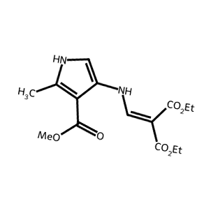 CCOC(=O)C(=CNc1c[nH]c(C)c1C(=O)OC)C(=O)OCC